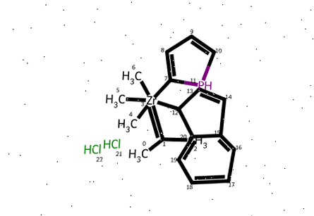 C[C](C)=[Zr]([CH3])([CH3])([CH3])([c]1ccc[pH]1)[CH]1C=Cc2ccccc21.Cl.Cl